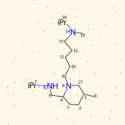 CC1CCC(CNC(C)C)N(CCCCCN(C)C(C)C)C1